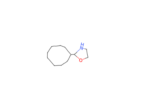 C1CCCCC(C2NCCO2)CCC1